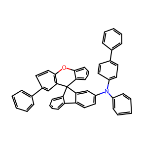 c1ccc(-c2ccc(N(c3ccccc3)c3ccc4c(c3)C3(c5ccccc5Oc5ccc(-c6ccccc6)cc53)c3ccccc3-4)cc2)cc1